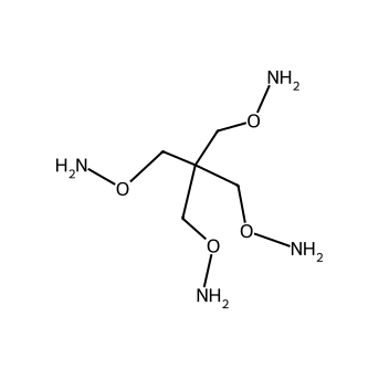 NOCC(CON)(CON)CON